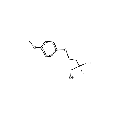 COc1ccc(OCC[C@@](C)(O)CO)cc1